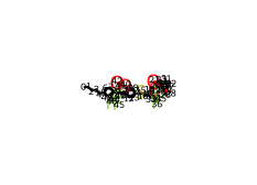 CCCCCc1ccc(-c2cc3ccc(SCC(COC(=O)C(C)(CC(C)(C)C)C(C)(C)C)CC(F)(F)F)cc3oc2=O)c(C(F)(F)F)c1